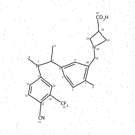 Cc1ccc(C(C)N(C)c2ccc(C#N)c(C(F)(F)F)c2)cc1CN1CC(C(=O)O)C1